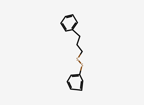 c1ccc(CCCSSc2ccccc2)cc1